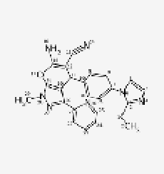 CCc1nccn1-c1ccc(C2C(C#N)=C(N)Oc3c2c(-c2ccccn2)nn3C)cc1